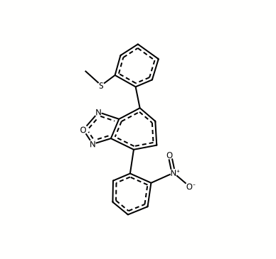 CSc1ccccc1-c1ccc(-c2ccccc2[N+](=O)[O-])c2nonc12